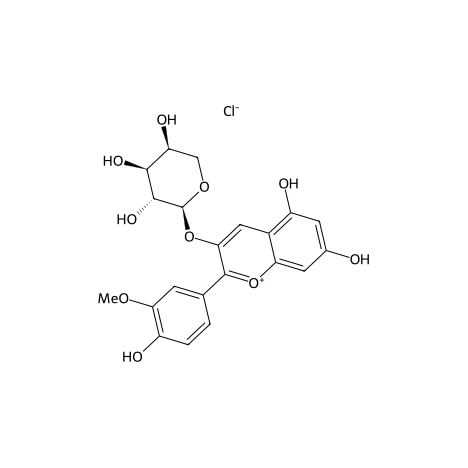 COc1cc(-c2[o+]c3cc(O)cc(O)c3cc2O[C@@H]2OC[C@H](O)[C@H](O)[C@H]2O)ccc1O.[Cl-]